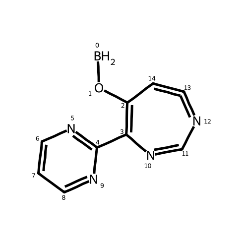 BOC1=C(c2ncccn2)N=CN=C=C1